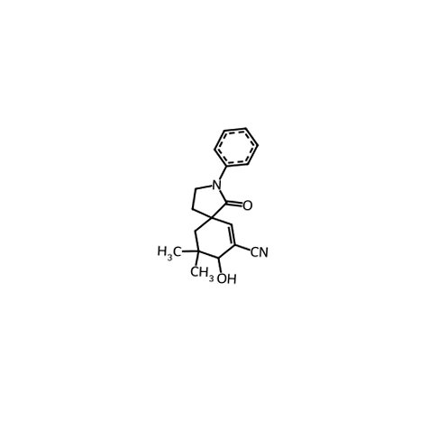 CC1(C)CC2(C=C(C#N)C1O)CCN(c1ccccc1)C2=O